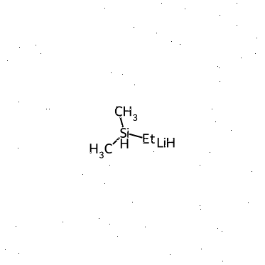 CC[SiH](C)C.[LiH]